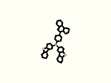 c1ccc2c(c1)cc(-c1ccc(N(c3ccc4oc5ccccc5c4c3)c3ccc4oc5ccccc5c4c3)cc1)c1ccccc12